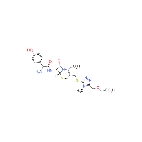 Cn1c(COCC(=O)O)nnc1SCC1=C(C(=O)O)N2C(=O)C(NC(=O)C(N)c3ccc(O)cc3)[C@H]2SC1